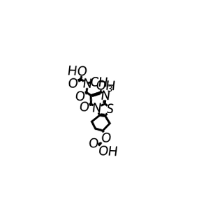 CN(C(=O)O)C(=O)c1c(O)nc2sc3c(n2c1=O)CCC(OC(=O)O)C3